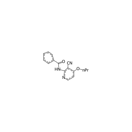 CCCOc1ccnc(NC(=O)c2ccccc2)c1C#N